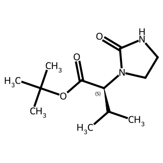 CC(C)[C@@H](C(=O)OC(C)(C)C)N1CCNC1=O